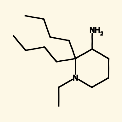 CCCCC1(CCCC)C(N)CCCN1CC